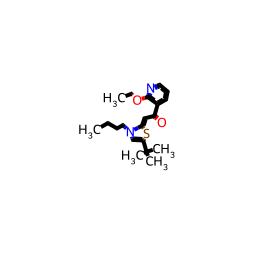 CCCCN1C=C(C(C)(C)C)S/C1=C\C(=O)c1cccnc1OCC